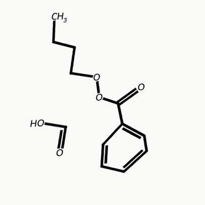 CCCCOOC(=O)c1ccccc1.O=CO